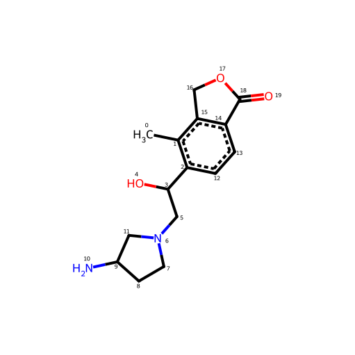 Cc1c(C(O)CN2CCC(N)C2)ccc2c1COC2=O